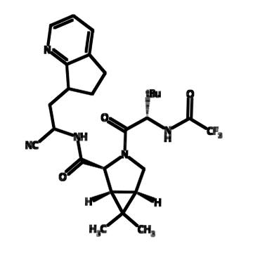 CC(C)(C)[C@H](NC(=O)C(F)(F)F)C(=O)N1C[C@H]2[C@@H]([C@H]1C(=O)NC(C#N)CC1CCc3cccnc31)C2(C)C